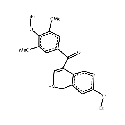 CCCOc1c(OC)cc(C(=O)C2=CNCc3[c]c(OCC)ccc32)cc1OC